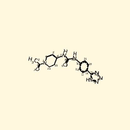 CC(=O)N1CCC(NC(=O)Nc2ccc(-c3nnn[nH]3)cc2)CC1